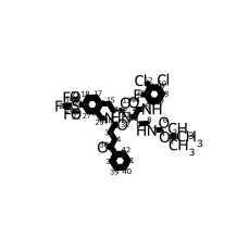 CC(C)(C)OC(=O)NCC[C@H](NC(=O)[C@@H]1Cc2ccc(S(=O)(=O)C(F)(F)F)cc2CN1C(=O)CCC(=O)c1ccccc1)C(=O)Nc1ccc(Cl)c(Cl)c1F